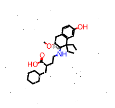 CCC1(CC)c2cc(O)ccc2C[C@@H](OC)[C@@H]1NCCC(CC1CCCCC1)C(=O)O